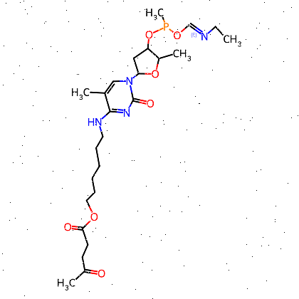 CC/N=C/OP(C)OC1CC(n2cc(C)c(NCCCCCCOC(=O)CCC(C)=O)nc2=O)OC1C